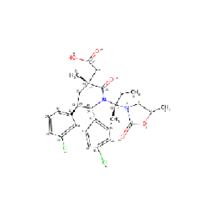 CC[C@](C)(N1CC(C)OC1=O)N1C(=O)[C@@](C)(CC(=O)O)C[C@H](c2cccc(Cl)c2)[C@H]1c1ccc(Cl)cc1